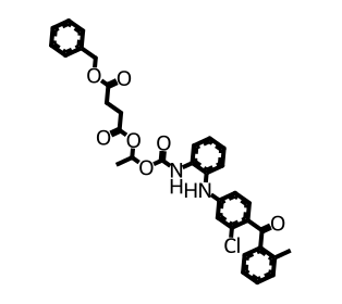 Cc1ccccc1C(=O)c1ccc(Nc2ccccc2NC(=O)OC(C)OC(=O)CCC(=O)OCc2ccccc2)cc1Cl